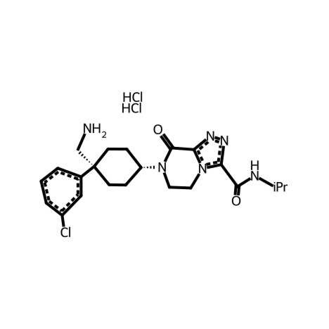 CC(C)NC(=O)c1nnc2n1CCN([C@H]1CC[C@](CN)(c3cccc(Cl)c3)CC1)C2=O.Cl.Cl